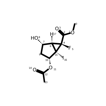 COC(=O)[C@@]1(F)[C@@H]2[C@@H](O)C[C@@H](OC(C)=O)[C@@]21I